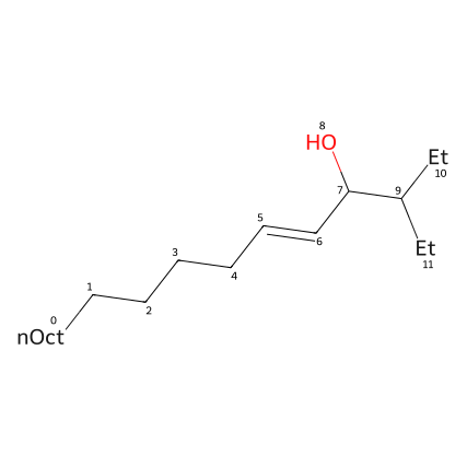 CCCCCCCCCCCCC=CC(O)C(CC)CC